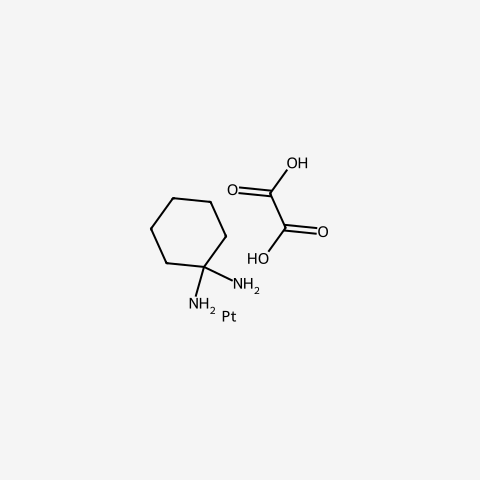 NC1(N)CCCCC1.O=C(O)C(=O)O.[Pt]